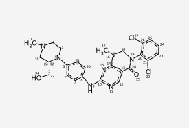 CN1CCN(c2ccc(Nc3ncc4c(n3)N(C)CN(c3c(Cl)cccc3Cl)C4=O)cc2)[C@H](CO)C1